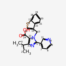 CC(C)c1nc(-c2cccnc2)n(Cc2csc3ccccc23)c1C(=O)O